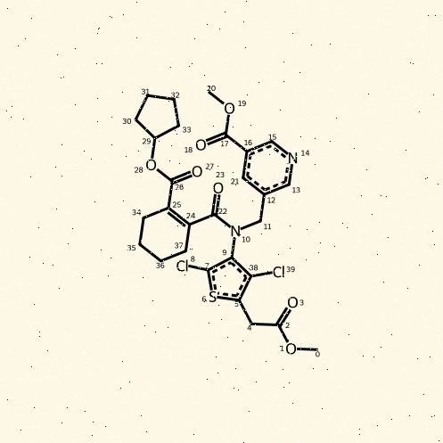 COC(=O)Cc1sc(Cl)c(N(Cc2cncc(C(=O)OC)c2)C(=O)C2=C(C(=O)OC3CCCC3)CCCC2)c1Cl